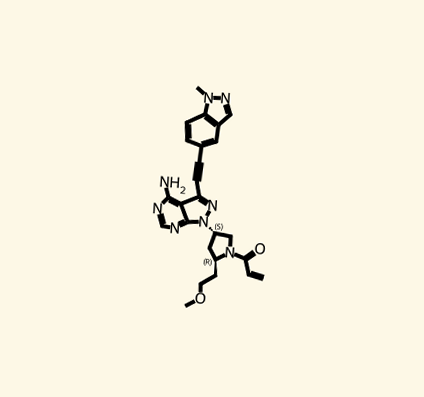 C=CC(=O)N1C[C@@H](n2nc(C#Cc3ccc4c(cnn4C)c3)c3c(N)ncnc32)C[C@@H]1CCOC